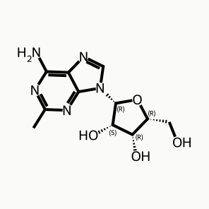 Cc1nc(N)c2ncn([C@@H]3O[C@H](CO)[C@H](O)[C@@H]3O)c2n1